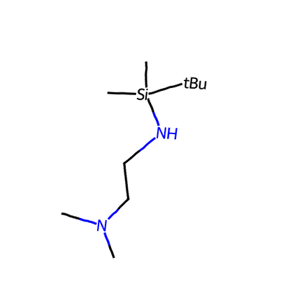 CN(C)CCN[Si](C)(C)C(C)(C)C